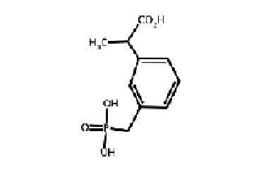 CC(C(=O)O)c1cccc(CP(=O)(O)O)c1